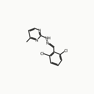 Cc1ccnc(NN=Cc2c(Cl)cccc2Cl)n1